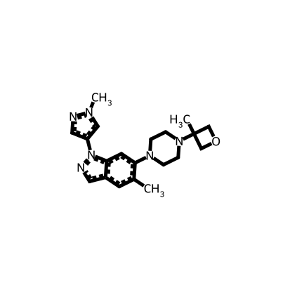 Cc1cc2cnn(-c3cnn(C)c3)c2cc1N1CCN(C2(C)COC2)CC1